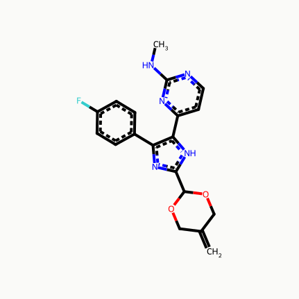 C=C1COC(c2nc(-c3ccc(F)cc3)c(-c3ccnc(NC)n3)[nH]2)OC1